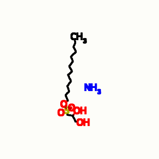 CCCCCCCCCCCCCCOS(=O)(=O)CC(O)CO.N